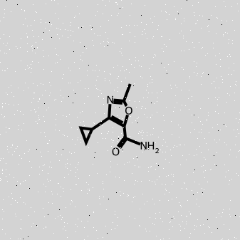 Cc1nc(C2CC2)c(C(N)=O)o1